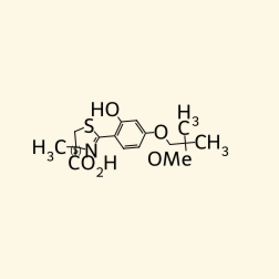 COC(C)(C)COc1ccc(C2=N[C@@](C)(C(=O)O)CS2)c(O)c1